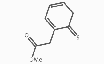 COC(=O)CC1=CC=CCC1=S